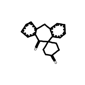 O=C1CCC2(CC1)C(=O)c1ccccc1Cc1ccccc12